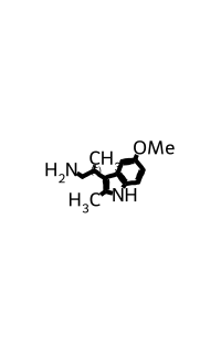 COc1ccc2[nH]c(C)c([C@H](C)CN)c2c1